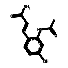 CC(=O)Nc1cc(O)ccc1C=CC(N)=O